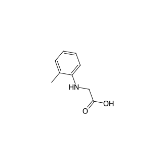 Cc1ccccc1NCC(=O)O